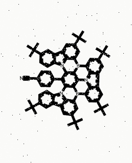 CC(C)(C)c1ccc2c(c1)c1cc(C(C)(C)C)cc3c1n2-c1c2c4c5c(c1-c1ccc(C#N)cc1)-n1c6ccc(C(C)(C)C)cc6c6cc(C(C)(C)C)cc(c61)B5c1cc(C(C)(C)C)cc5c6cc(C(C)(C)C)cc(c6n-4c15)B23